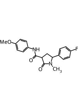 COc1ccc(NC(=O)C2CC(c3ccc(F)cc3)N(C)C2=O)cc1